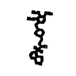 CCN(CCN1CCN(Cc2ccc(OC)c(OC)c2OC)CC1)S(=O)(=O)c1cccc2cnccc12